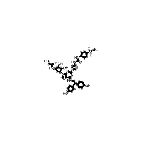 NS(=O)(=O)c1ccc(NC(=O)Nc2ncn(-c3nc(NCC(c4ccc(O)cc4)c4ccc(O)cc4)c4ncn([C@@H]5C[C@H](NC(=O)CO)[C@@H](O)[C@H]5O)c4n3)n2)cc1